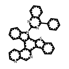 c1ccc(-c2nc(-n3c4ccccc4c4c5c6cccnc6cnc5c5c6ccccc6sc5c43)nc3ccccc23)cc1